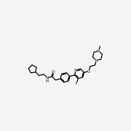 CN1CCN(CCOc2cnc(-c3ccc(CC(=O)NCCC4CCCC4)cc3)c(F)c2)CC1